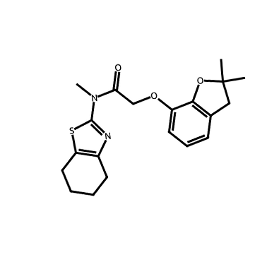 CN(C(=O)COc1cccc2c1OC(C)(C)C2)c1nc2c(s1)CCCC2